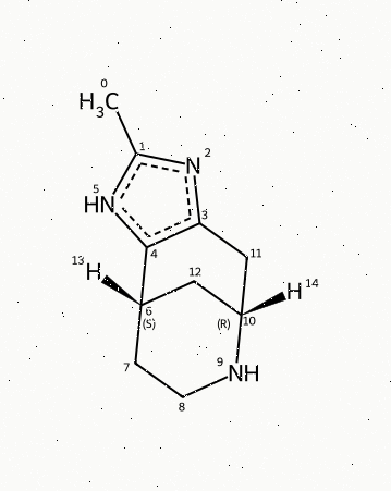 Cc1nc2c([nH]1)[C@H]1CCN[C@@H](C2)C1